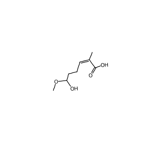 COC(O)CCC=C(C)C(=O)O